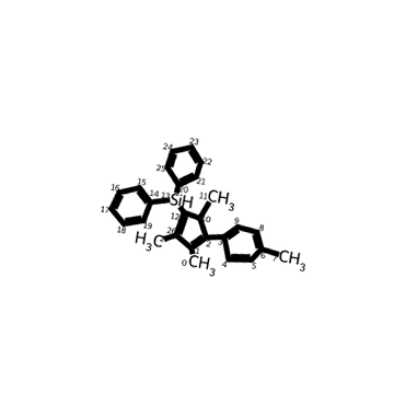 CC1=C(c2ccc(C)cc2)C(C)C([SiH](c2ccccc2)c2ccccc2)=C1C